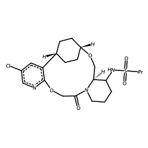 CC(C)S(=O)(=O)NC1CCCN2C(=O)COc3ncc(Cl)cc3[C@H]3CC[C@H](CC3)OC[C@@H]12